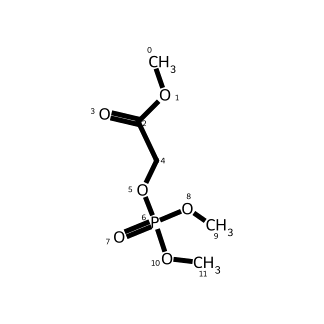 COC(=O)COP(=O)(OC)OC